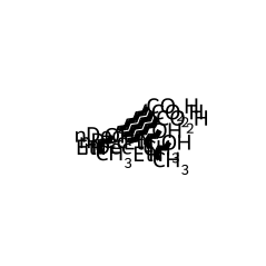 CCCCCCCCCCCCCCCCCC(=O)O.CCCCCCCCCCCCCCCCCC(=O)O.CCCCCCCCCCCCCCCCCC(=O)O.CCN(C)CCO.CCN(C)CCO.CCN(C)CCO